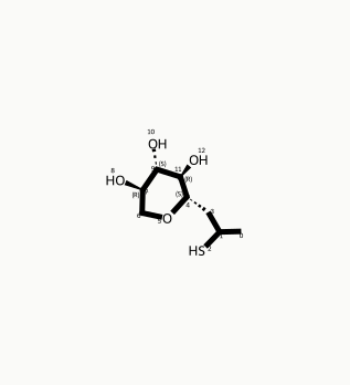 CC(S)C[C@@H]1OC[C@@H](O)[C@H](O)[C@H]1O